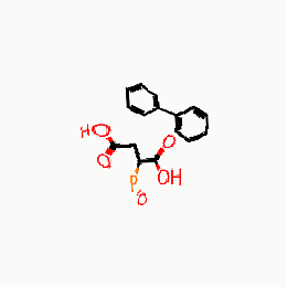 O=PC(CC(=O)O)C(=O)O.c1ccc(-c2ccccc2)cc1